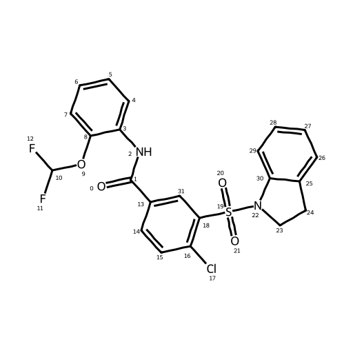 O=C(Nc1ccccc1OC(F)F)c1ccc(Cl)c(S(=O)(=O)N2CCc3ccccc32)c1